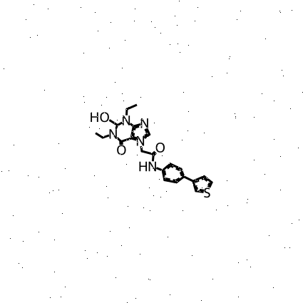 CCN1C(=O)c2c(ncn2CC(=O)Nc2ccc(-c3ccsc3)cc2)N(CC)C1O